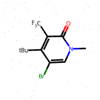 Cn1cc(Br)c(C(C)(C)C)c(C(F)(F)F)c1=O